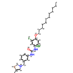 Br.CCCCCCCCCCCCOc1ccc(NC(=O)Nc2cccc(CN3C=C(C)SC3)c2)cc1F